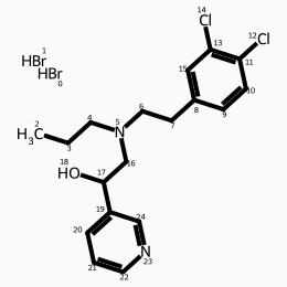 Br.Br.CCCN(CCc1ccc(Cl)c(Cl)c1)CC(O)c1cccnc1